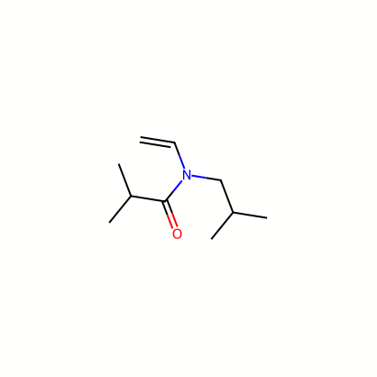 C=CN(CC(C)C)C(=O)C(C)C